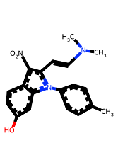 Cc1ccc(-n2c(C=CN(C)C)c([N+](=O)[O-])c3ccc(O)cc32)cc1